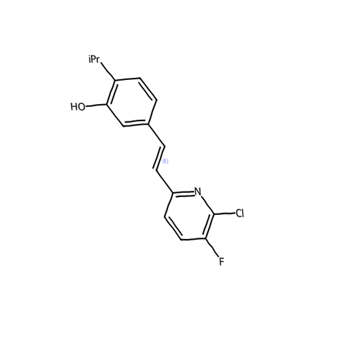 CC(C)c1ccc(/C=C/c2ccc(F)c(Cl)n2)cc1O